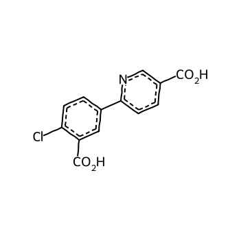 O=C(O)c1ccc(-c2ccc(Cl)c(C(=O)O)c2)nc1